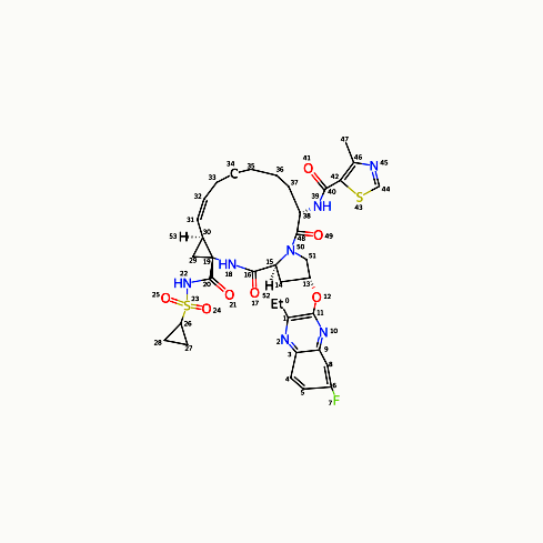 CCc1nc2ccc(F)cc2nc1O[C@@H]1C[C@H]2C(=O)N[C@]3(C(=O)NS(=O)(=O)C4CC4)C[C@H]3C=CCCCCC[C@H](NC(=O)c3scnc3C)C(=O)N2C1